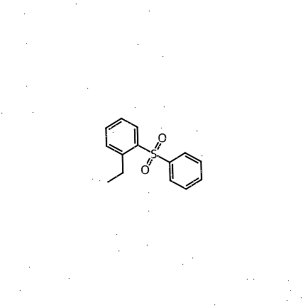 CCc1ccccc1S(=O)(=O)c1ccccc1